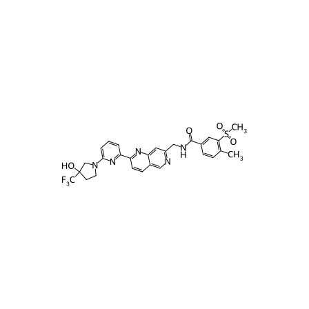 Cc1ccc(C(=O)NCc2cc3nc(-c4cccc(N5CCC(O)(C(F)(F)F)C5)n4)ccc3cn2)cc1S(C)(=O)=O